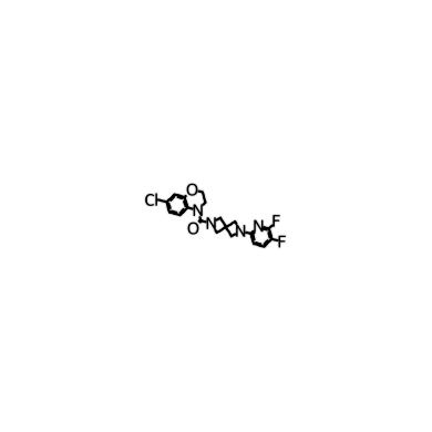 O=C(N1CC2(C1)CN(c1ccc(F)c(F)n1)C2)N1CCOc2cc(Cl)ccc21